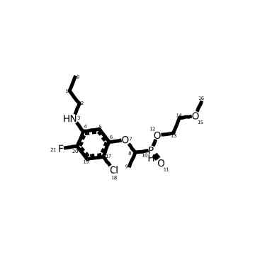 CCCNc1cc(OC(C)[PH](=O)OCCOC)c(Cl)cc1F